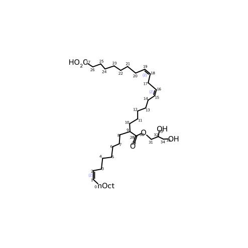 CCCCCCCC/C=C\CCCCCCC(CCCCC/C=C\C/C=C\CCCCCCCC(=O)O)C(=O)OCC(O)CO